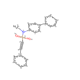 CN(c1ccc(-c2ccccc2)cc1)S(=O)(=O)C#Cc1ccccc1